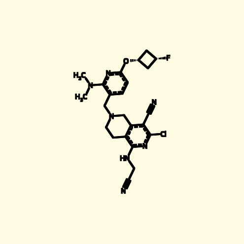 CN(C)c1nc(O[C@H]2C[C@@H](F)C2)ccc1CN1CCc2c(NCC#N)nc(Cl)c(C#N)c2C1